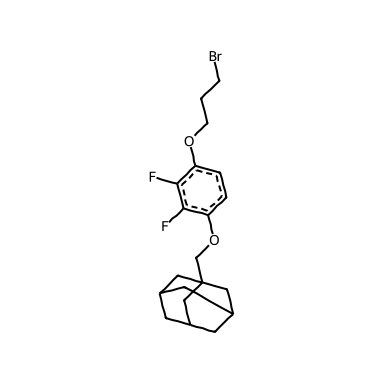 Fc1c(OCCCBr)ccc(OCC23CC4CC(CC(C4)C2)C3)c1F